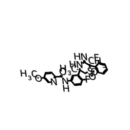 COc1ccc(C(=O)Nc2ccc(F)c([C@]3(C)CS(=O)(=O)[C@@](C)(c4ccccc4F)C(=N)N3)c2)nc1